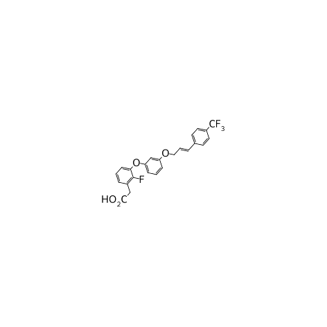 O=C(O)Cc1cccc(Oc2cccc(OCC=Cc3ccc(C(F)(F)F)cc3)c2)c1F